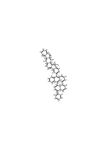 CC1(C)c2ccc(-c3c4ccccc4c(C4=CC=C(c5ccccc5)C5C=CC=CC45)c4ccccc34)cc2-c2ccc3cc4c(cc3c21)sc1ccccc14